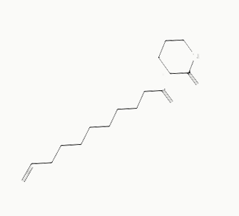 C=CCCCCCCCCC(=O)[C@@H]1CCCNC1=O